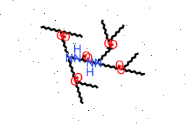 CCCCCCCCC(CCCCCCCC)OC(=O)CCCCCCCN(CCCCCCCC(=O)OC(CCCCCCCC)CCCCCCCC)CCNCC(C=O)CC(=O)NCCN(CCCCCCCC(=O)OC(CCCCCCCC)CCCCCCCC)CCCCCCC(C)(C)C(=O)OC(CCCCCCCC)CCCCCCCC